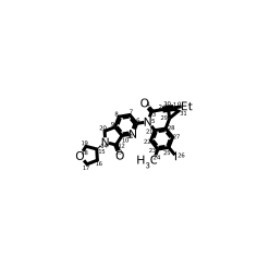 CCC#CC(=O)N(c1ccc2c(n1)C(=O)N([C@@H]1CCOC1)C2)c1cc(C)c(I)cc1C1CC1